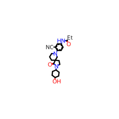 CCC(=O)Nc1ccc(N2CCCC3(CCN(C4CCC(O)CC4)C3=O)C2)c(C#N)c1